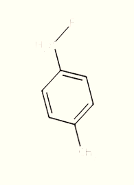 Cc1ccc([SiH2]F)cc1